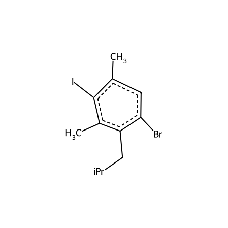 Cc1cc(Br)c(CC(C)C)c(C)c1I